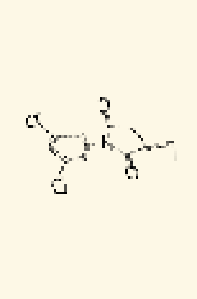 C/C=C1/CC(=O)N(c2cc(Cl)cc(Cl)c2)C1=O